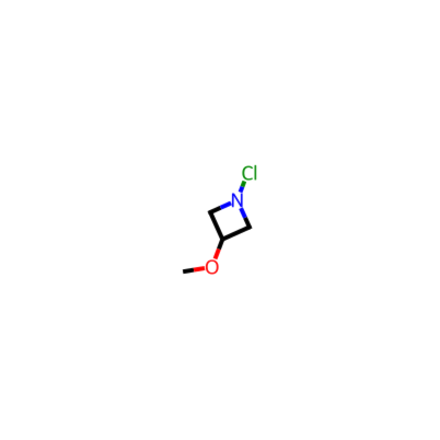 COC1CN(Cl)C1